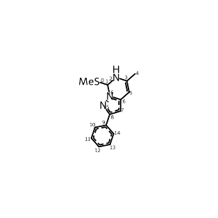 CSC1NC(C)=Cc2cc(-c3ccccc3)nn21